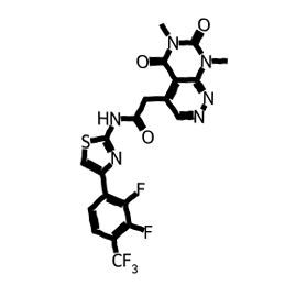 Cn1c(=O)c2c(CC(=O)Nc3nc(-c4ccc(C(F)(F)F)c(F)c4F)cs3)cnnc2n(C)c1=O